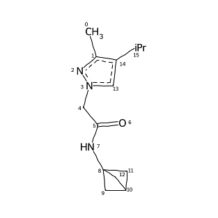 Cc1nn(CC(=O)NC23CC(C2)C3)cc1C(C)C